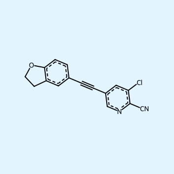 N#Cc1ncc(C#Cc2ccc3c(c2)CCO3)cc1Cl